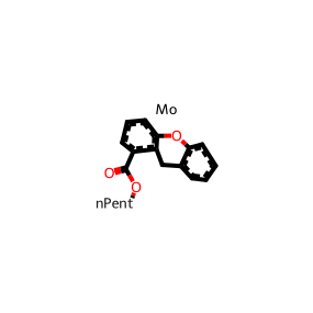 CCCCCOC(=O)c1cccc2c1Cc1ccccc1O2.[Mo]